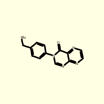 CC(C)(C)Cc1ccc(-n2cnc3nccnc3c2=O)cc1